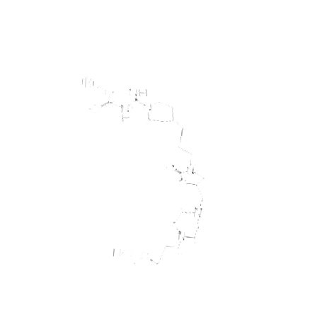 CC(C)(C)OC(=O)NC(=N)N1CCC(CCCN2CC(CN3CCN(CCCC(=O)O)CC3)OC2=O)CC1